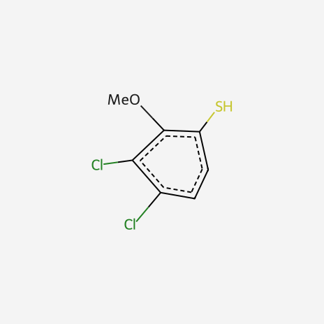 COc1c(S)ccc(Cl)c1Cl